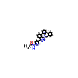 CC(=O)Nc1ccc(-c2nnc(NCc3ccccc3)c3c(-c4ccccc4)cccc23)cn1